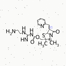 C[C@@H]1N2C(=O)/C(=C/c3ccccn3)C2SC1(C)COC(=O)NC(=N)NCCN